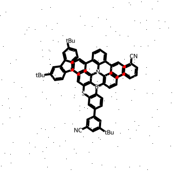 CC(C)(C)c1cc(C#N)cc(-c2ccc3c(c2)Sc2cc(-n4c5ccc(C(C)(C)C)cc5c5cc(C(C)(C)C)ccc54)cc4c2B3c2ccc(-c3cccc(C#N)c3)cc2N4c2c(-c3ccccc3)cccc2-c2ccccc2)c1